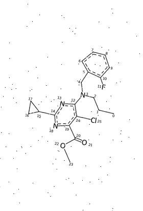 CCCN(Cc1ccccc1F)c1nc(C2CC2)nc(C(=O)OC)c1Cl